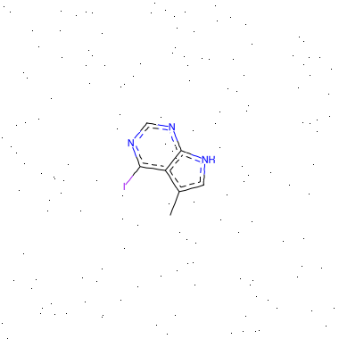 Cc1c[nH]c2ncnc(I)c12